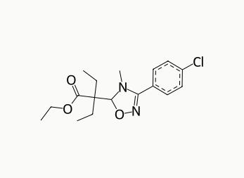 CCOC(=O)C(CC)(CC)C1ON=C(c2ccc(Cl)cc2)N1C